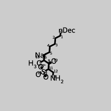 CCCCCCCCCCCCCCCCC(C)C(=O)C(CN)S(=O)(=O)[O-].[Na+]